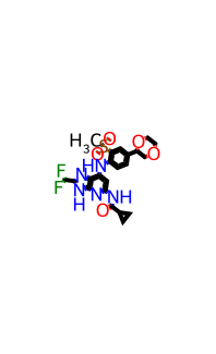 CS(=O)(=O)c1cc(C2COCCO2)ccc1Nc1cc(NC(=O)C2CC2)nc2[nH]c(C(F)F)nc12